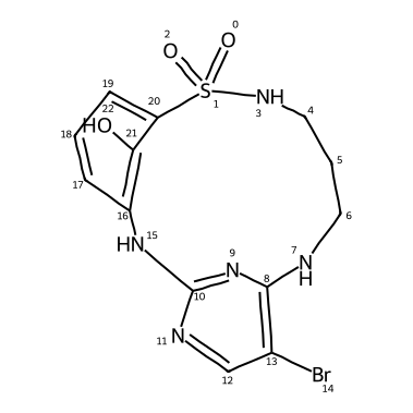 O=S1(=O)NCCCNc2nc(ncc2Br)Nc2cccc1c2O